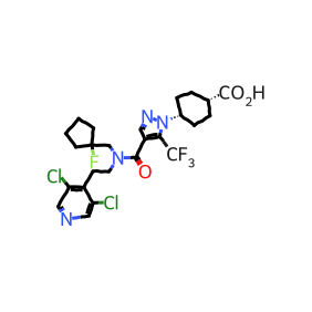 O=C(c1cnn([C@H]2CC[C@@H](C(=O)O)CC2)c1C(F)(F)F)N(CCc1c(Cl)cncc1Cl)CC1(F)CCCC1